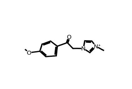 COc1ccc(C(=O)Cn2cc[n+](C)c2)cc1